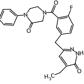 CCc1cc(Cc2ccc(F)c(C(=O)N3CCN(c4ccccc4)C(=O)C3)c2)n[nH]c1=O